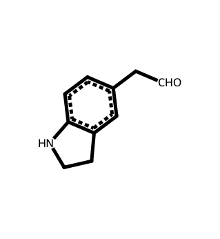 O=CCc1ccc2c(c1)CCN2